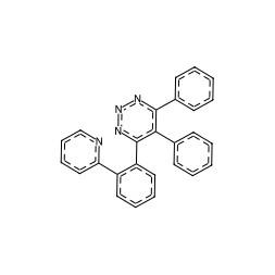 c1ccc(-c2nnnc(-c3ccccc3-c3ccccn3)c2-c2ccccc2)cc1